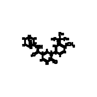 Cc1ccc(-n2cc(C(=O)NC3CN4CCC3CC4)ccc2=O)cc1C(F)(F)F